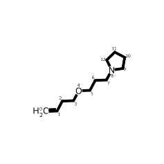 C=CCCOCCCN1CCCC1